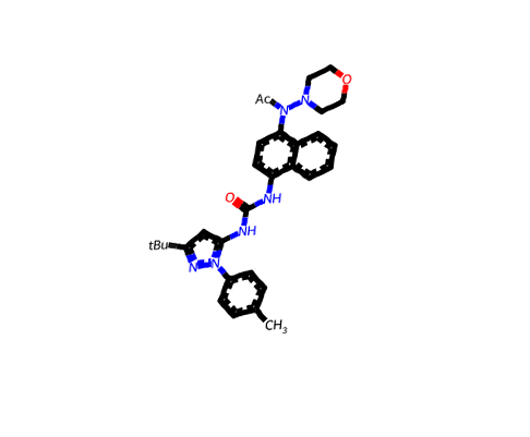 CC(=O)N(c1ccc(NC(=O)Nc2cc(C(C)(C)C)nn2-c2ccc(C)cc2)c2ccccc12)N1CCOCC1